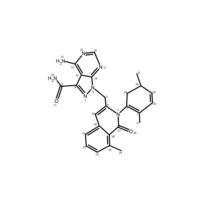 CC1=C(n2c(Cn3nc(C(N)=O)c4c(N)ncnc43)cc3cccc(C)c3c2=O)CC(C)C=C1